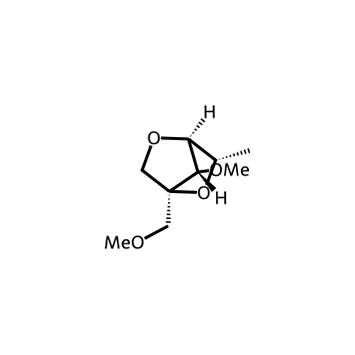 COC[C@@]12CO[C@@H]([C@H](C)O1)[C@@H]2OC